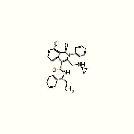 CC[C@H](NC(=O)c1c(CNC2CC2)n(-c2ccccc2)c(=O)c2c(Cl)cccc12)c1ccccc1